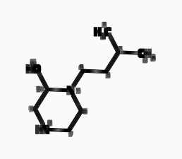 CC(C)CCN1CCNCC1O